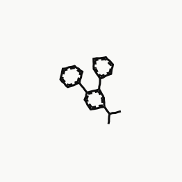 CC(C)c1ccc(-c2ccccc2)c(-c2ccccc2)c1